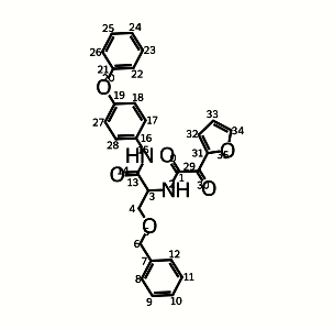 O=C(NC(COCc1ccccc1)C(=O)Nc1ccc(Oc2ccccc2)cc1)C(=O)c1ccco1